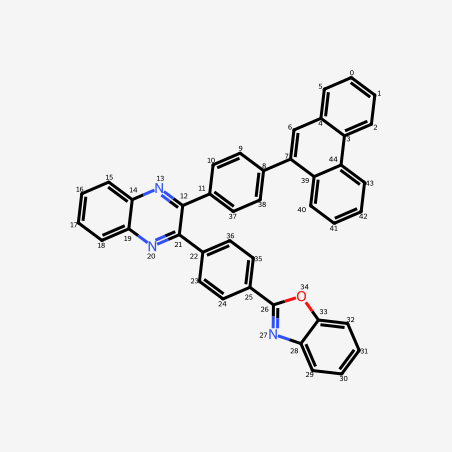 c1ccc2c(c1)cc(-c1ccc(-c3nc4ccccc4nc3-c3ccc(-c4nc5ccccc5o4)cc3)cc1)c1ccccc12